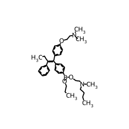 CCCCN(C)CCOB(OCCC)c1ccc(C(=C(CC)c2ccccc2)c2ccc(OCCN(C)C)cc2)cc1